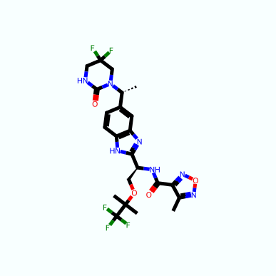 Cc1nonc1C(=O)N[C@@H](COC(C)(C)C(F)(F)F)c1nc2cc([C@@H](C)N3CC(F)(F)CNC3=O)ccc2[nH]1